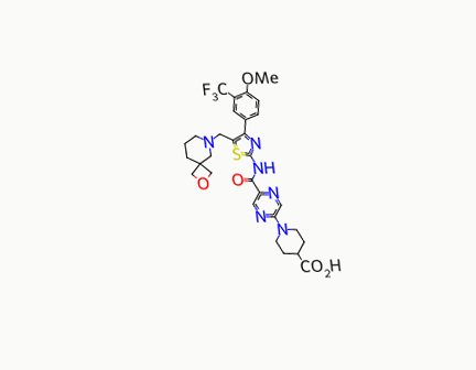 COc1ccc(-c2nc(NC(=O)c3cnc(N4CCC(C(=O)O)CC4)cn3)sc2CN2CCCC3(COC3)C2)cc1C(F)(F)F